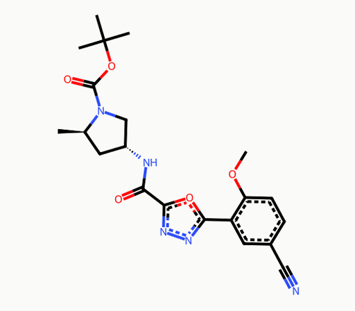 COc1ccc(C#N)cc1-c1nnc(C(=O)N[C@@H]2C[C@@H](C)N(C(=O)OC(C)(C)C)C2)o1